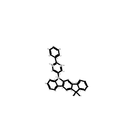 CC1(C)c2ccccc2-c2cc3c(cc21)c1ccccc1n3-c1cnc(-c2ccccc2)nc1